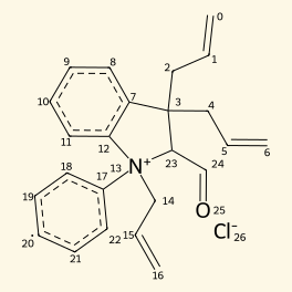 C=CCC1(CC=C)c2ccccc2[N+](CC=C)(c2cc[c]cc2)C1C=O.[Cl-]